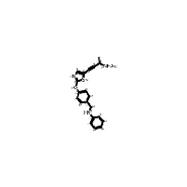 CC(=O)NC(C)C#Cc1cnc(Oc2ccc(CNc3ccccc3)cc2)s1